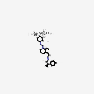 C=C1/C(=C\C=C2/CCC[C@]3(C)[C@@H]([C@H](C)/C=C/[C@@H](O)C4(c5ccc(C)cc5)CC4)CC[C@@H]23)C[C@@H](O[Si](C)(C)C(C)(C)C)C[C@@H]1O[Si](C)(C)C(C)(C)C